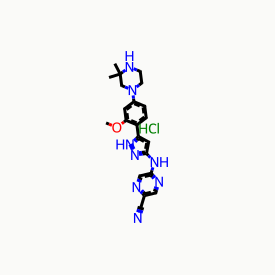 COc1cc(N2CCNC(C)(C)C2)ccc1-c1cc(Nc2cnc(C#N)cn2)n[nH]1.Cl